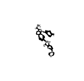 NC(=O)c1nn(-c2ccc(F)cc2)c2c1CCc1ccc(NC(=O)c3nc(N4CCOCC4)ccc3Cl)cc1-2